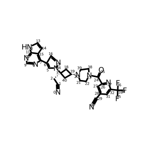 N#CC[C@]1(n2cc(-c3ncnc4[nH]ccc34)cn2)C[C@H](N2CCN(C(=O)c3cc(C#N)cc(C(F)(F)F)n3)CC2)C1